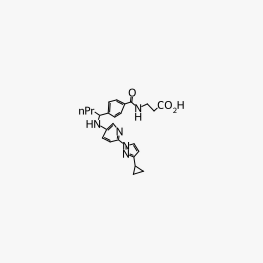 CCCC(Nc1ccc(-n2ccc(C3CC3)n2)nc1)c1ccc(C(=O)NCCC(=O)O)cc1